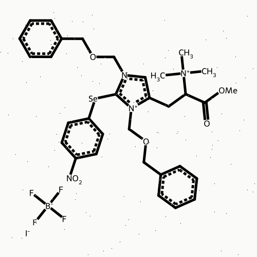 COC(=O)C(Cc1cn(COCc2ccccc2)c([Se]c2ccc([N+](=O)[O-])cc2)[n+]1COCc1ccccc1)[N+](C)(C)C.F[B-](F)(F)F.[I-]